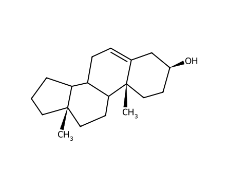 C[C@@]12CCCC1C1CC=C3C[C@@H](O)CC[C@]3(C)C1CC2